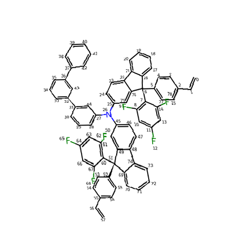 C=Cc1ccc(C2(c3c(F)cc(F)cc3F)c3ccccc3-c3ccc(N(c4cccc(-c5cccc(-c6ccccc6)c5)c4)c4ccc5c(c4)[C@@](c4ccc(C=C)cc4)(c4c(F)cc(F)cc4F)c4ccccc4-5)cc32)cc1